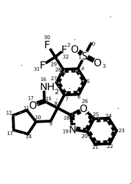 CS(=O)(=O)c1ccc(C(CC2CCCC2)(C(N)=O)c2nc3ccccc3o2)cc1C(F)(F)F